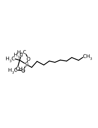 CCCCCCCCCC[Si](OC)(OC)C(C)(C)C